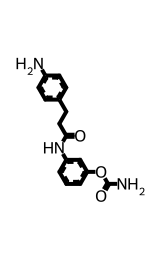 NC(=O)Oc1cccc(NC(=O)CCc2ccc(N)cc2)c1